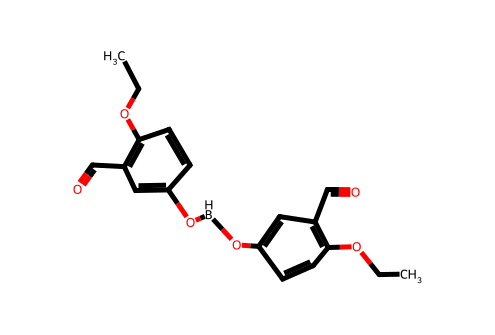 CCOc1ccc(OBOc2ccc(OCC)c(C=O)c2)cc1C=O